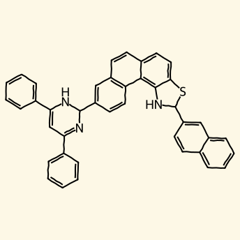 C1=C(c2ccccc2)NC(c2ccc3c(ccc4ccc5c(c43)NC(c3ccc4ccccc4c3)S5)c2)N=C1c1ccccc1